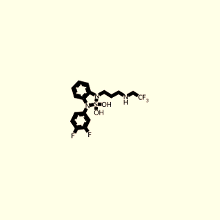 OS1(O)N(CCCNCC(F)(F)F)c2ccccc2N1c1ccc(F)c(F)c1